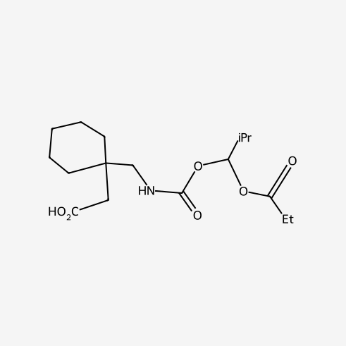 CCC(=O)OC(OC(=O)NCC1(CC(=O)O)CCCCC1)C(C)C